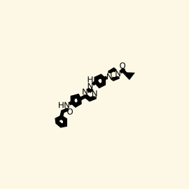 O=C(Cc1ccccc1)Nc1ccc(-c2ccnc(Nc3ccc(N4CCN(C(=O)C5CC5)CC4)cc3)n2)cc1